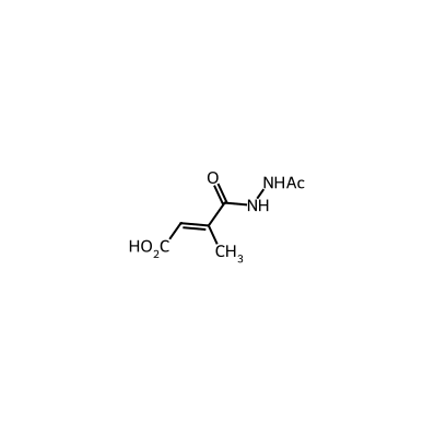 CC(=O)NNC(=O)/C(C)=C/C(=O)O